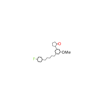 COc1cc(CCCCCc2ccc(F)cc2)cc(C2CCCC2=O)c1